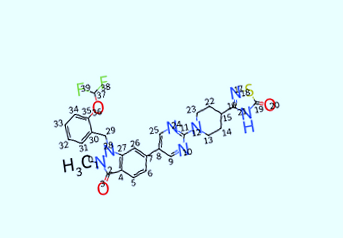 Cn1c(=O)c2ccc(-c3cnc(N4CCC(c5nsc(=O)[nH]5)CC4)nc3)cc2n1Cc1ccccc1OC(F)F